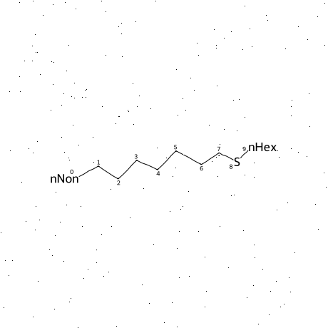 CCCCCCCCCCCCCCC[CH]SCCCCCC